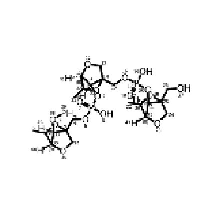 CC1OC2(COP(=O)(O)O[C@@H]3[C@@H]4OCC3(COP(=O)(O)O[C@@H]3[C@@H]5OCC3(CO)OC5C)OC4C)CO[C@H]1[C@H]2OP